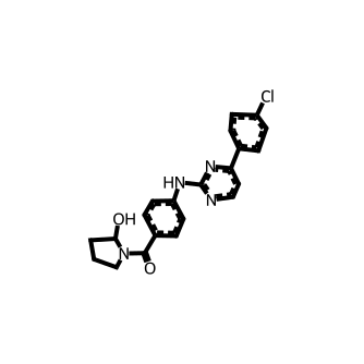 O=C(c1ccc(Nc2nccc(-c3ccc(Cl)cc3)n2)cc1)N1CCCC1O